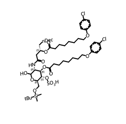 CCCCCCCCCCC[C@@H](CC(=O)N[C@H]1C(O)O[C@H](CO[Si](C)(C)C(C)(C)C)[C@@H](OS(=O)(=O)O)[C@@H]1OC(=O)CCCCCCCOc1ccc(Cl)cc1)OC(=O)CCCCCCCOc1ccc(Cl)cc1